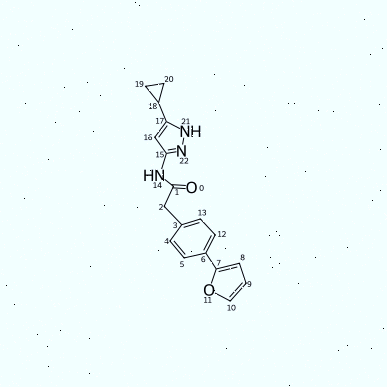 O=C(Cc1ccc(-c2ccco2)cc1)Nc1cc(C2CC2)[nH]n1